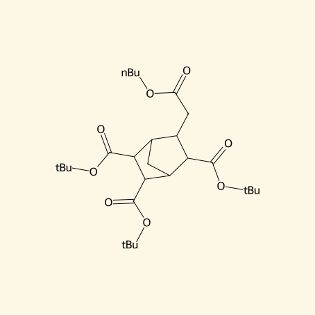 CCCCOC(=O)CC1C2CC(C1C(=O)OC(C)(C)C)C(C(=O)OC(C)(C)C)C2C(=O)OC(C)(C)C